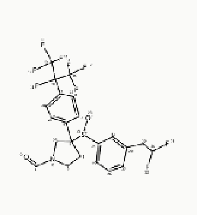 O=CN1CCC(c2ccc(C(F)(C(F)(F)F)C(F)(F)F)cc2)([S+]([O-])c2cccc(CC(F)F)c2)C1